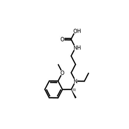 CCN(CCCNC(=O)O)[C@@H](C)c1ccccc1OC